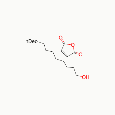 CCCCCCCCCCCCCCCCCCO.O=C1C=CC(=O)O1